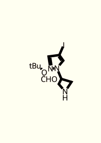 CC(C)(C)OC=O.Ic1cnn(C2CNC2)c1